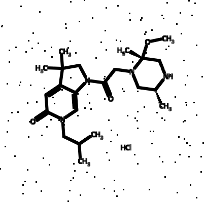 CO[C@]1(C)CN[C@H](C)CN1CC(=O)N1CC(C)(C)c2cc(=O)n(CC(C)C)cc21.Cl